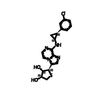 O[C@@H]1[C@H](O)CS[C@H]1c1cnc2c(N[C@H]3C[C@@H]3c3cccc(Cl)c3)nccn12